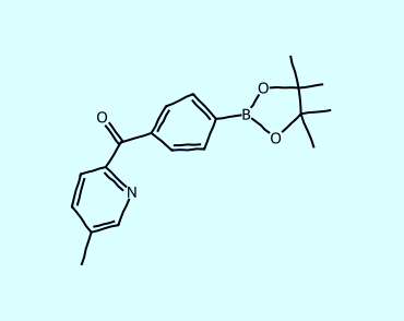 Cc1ccc(C(=O)c2ccc(B3OC(C)(C)C(C)(C)O3)cc2)nc1